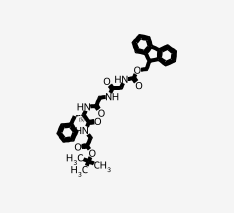 CC(C)(C)OC(=O)CNC(=O)[C@H](Cc1ccccc1)NC(=O)CNC(=O)CNC(=O)OCC1c2ccccc2-c2ccccc21